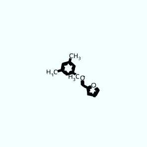 Cc1cc(C)cc(C)c1.O=Cc1ccco1